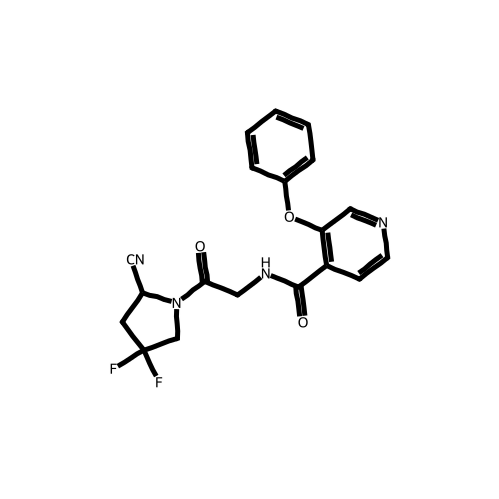 N#CC1CC(F)(F)CN1C(=O)CNC(=O)c1ccncc1Oc1ccccc1